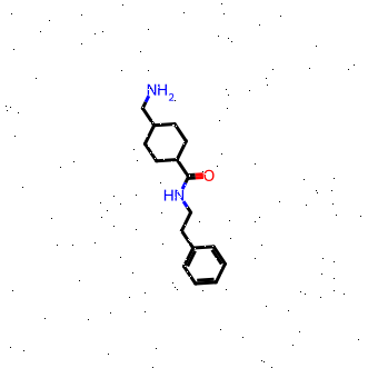 NCC1CCC(C(=O)NCCc2ccccc2)CC1